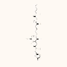 CCCCNC(=O)CNC(=O)CCCCNC(=O)C(CC(=O)NCc1nc(C)cs1)N(C)C(=O)O